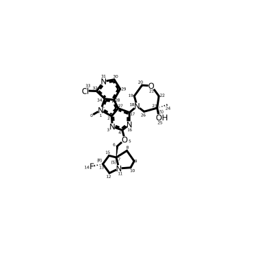 Cn1c2nc(OC[C@@]34CCCN3C[C@H](F)C4)nc(N3CCOC[C@@](C)(O)C3)c2c2ccnc(Cl)c21